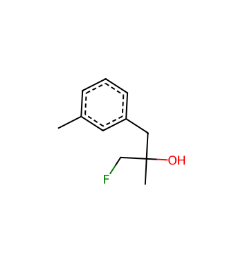 Cc1cccc(CC(C)(O)CF)c1